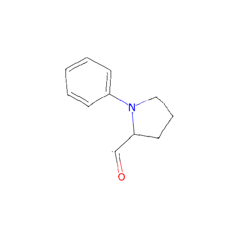 O=[C]C1CCCN1c1ccccc1